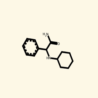 NC(=O)C(NC1CCCCC1)c1ccccc1